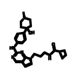 CN1CCC(O)(c2ccc(Nc3ncc4ccn(CCCNC(=O)C5CCC5)c4n3)cc2)CC1